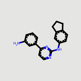 Nc1cccc(-c2ccnc(Nc3ccc4c(c3)CCC4)n2)c1